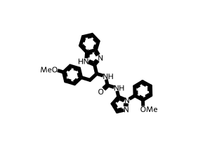 COc1ccc(CC(NC(=O)Nc2ccnn2-c2ccccc2OC)c2nc3ccccc3[nH]2)cc1